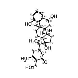 CC1=C(CO)C(=O)O[C@@H]([C@@H](C)[C@@]2(O)CC[C@H]3[C@@H]4C[C@@H](O)c5cccc(O)c5[C@H]4CC[C@@]32C)C1